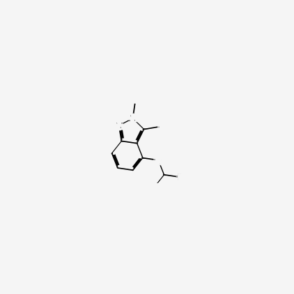 Cn1nc2cccc(OC(F)F)c2c1I